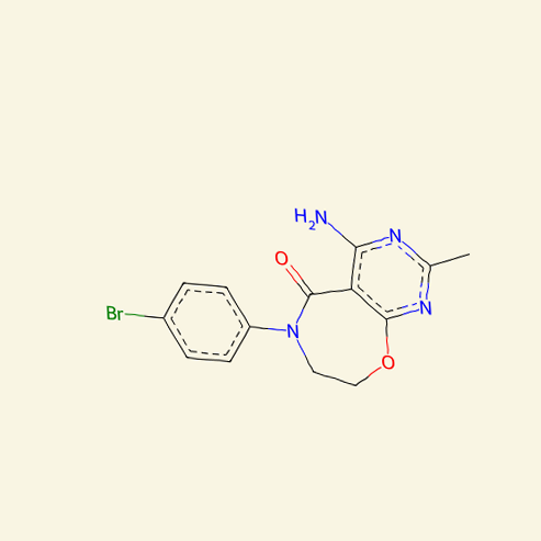 Cc1nc(N)c2c(n1)OCCN(c1ccc(Br)cc1)C2=O